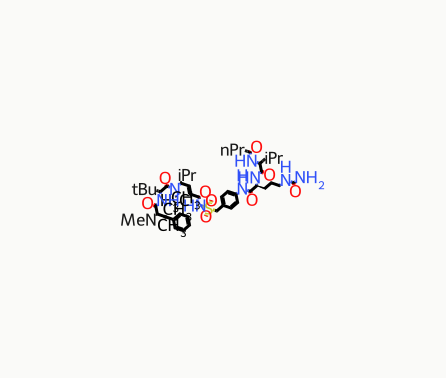 CCCC(=O)NC(C(=O)N[C@@H](CCCNC(N)=O)C(=O)Nc1ccc(CS(=O)(=O)NC(=O)/C(C)=C/[C@H](C(C)C)N(C)C(=O)C(NC(=O)[C@@H](NC)C(C)(C)c2ccccc2)C(C)(C)C)cc1)C(C)C